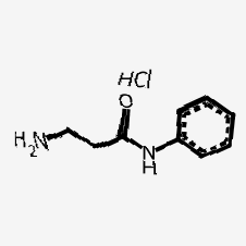 Cl.NCCC(=O)Nc1ccccc1